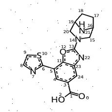 O=C(O)c1cc(-c2nccs2)c2oc(N3CC4CCC(C3)N4)nc2c1